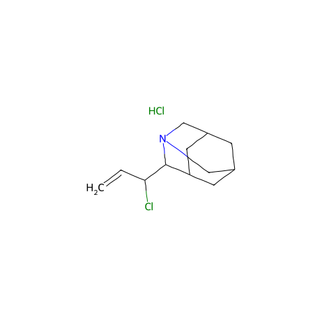 C=CC(Cl)C1C2CC3CC(C2)CN1C3.Cl